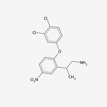 CC(CN)c1cc([N+](=O)[O-])ccc1Oc1ccc(Cl)c(Cl)c1